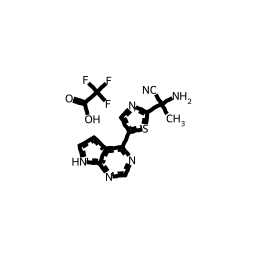 CC(N)(C#N)c1ncc(-c2ncnc3[nH]ccc23)s1.O=C(O)C(F)(F)F